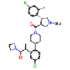 CC(C(=O)N1CCC1)c1cc(Cl)ccc1C1CCN(C(=O)[C@@H]2CN(C(C)(C)C)C[C@H]2c2ccc(F)cc2F)CC1